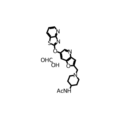 CC(=O)NC1CCN(Cc2cc3ncc(Oc4nc5ncccc5s4)cc3o2)CC1.O=CO